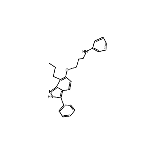 CCCc1c(OCCCNc2c[c]ccc2)ccc2c(-c3ccccc3)[nH]nc12